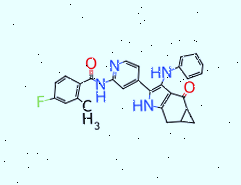 Cc1cc(F)ccc1C(=O)Nc1cc(-c2[nH]c3c(c2Nc2ccccc2)C(=O)C2CC2C3)ccn1